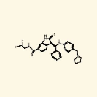 O=C1Nc2cc(C(=O)NCC(F)F)ccc2/C1=C(/Nc1ccc(CN2CCCC2)cc1)c1ccccc1